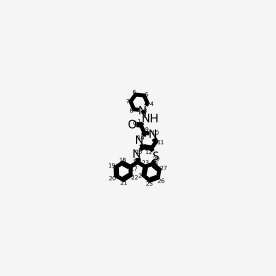 O=C(NN1CCCCC1)c1ncc2c(n1)N=C(c1ccccc1)c1ccccc1S2